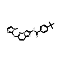 Cn1ccnc1Sc1ccc2nc(NC(=O)c3ccc(C(C)(C)C)cc3)cn2n1